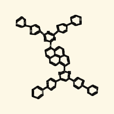 c1ccc(-c2ccc(-c3cc(-c4ccc(-c5ccccc5)cc4)nc(-c4ccc5ccc6c(-c7nc(-c8ccc(-c9ccccc9)cc8)nc(-c8ccc(-c9ccccc9)cc8)n7)ccc7ccc4c5c76)n3)cc2)cc1